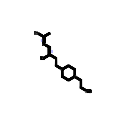 CC/C(=C\N=C(/C)CC)CCN1CCN(CCN=O)CC1